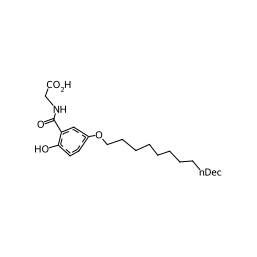 CCCCCCCCCCCCCCCCCCOc1ccc(O)c(C(=O)NCC(=O)O)c1